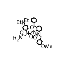 CCN(CC)c1ccc(N(CC(N)=O)C(=O)Cn2c(=O)n(Cc3cccc(OC)c3)c3cccc(C(=O)c4ccccc4)c32)cc1